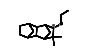 CCO[C@H]1C2CC(C3C4CCC(C4)C32)C1(C)C